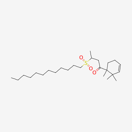 CCCCCCCCCCCCS(=O)(=O)C(C)CC(=O)C1(C)CCC=CC1(C)C